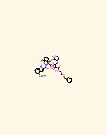 COc1cccc2[nH]c(C(=O)N3C[C@@H]4CCC[C@@H]4[C@H]3C(=O)NC(C[C@@H]3CCNC3=O)C(=O)C(=O)NCCOCc3ccccc3)cc12